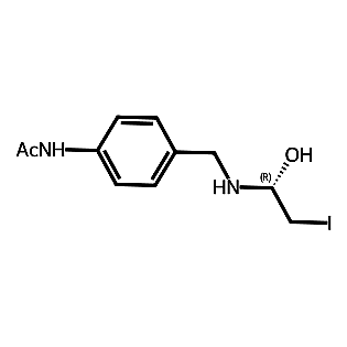 CC(=O)Nc1ccc(CN[C@H](O)CI)cc1